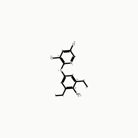 CCc1cc(Sc2ncc(Cl)cc2Cl)cc(CC)c1N